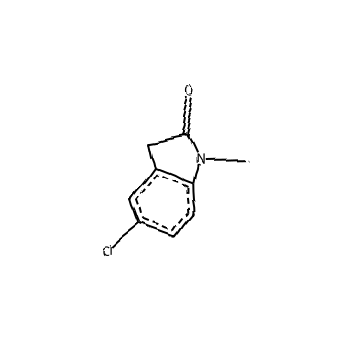 [CH2]N1C(=O)Cc2cc(Cl)ccc21